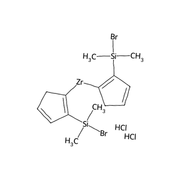 C[Si](C)(Br)C1=[C]([Zr][C]2=C([Si](C)(C)Br)C=CC2)CC=C1.Cl.Cl